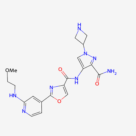 COCCNc1cc(-c2nc(C(=O)Nc3cn(C4CNC4)nc3C(N)=O)co2)ccn1